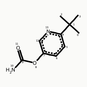 CC(C)(C)c1ccc(OC(N)=O)cn1